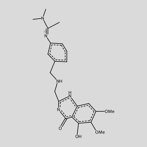 COc1cc2[nH]c(CNCc3cccc(/N=C(\C)N(C)C)c3)nc(=O)c2c(O)c1OC